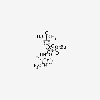 CC(C)(C)OC(=O)NS(=O)(=NC(=O)Nc1c2c(nc(C(F)(F)F)c1C1CC1)CCC2)c1cnc(C(C)(C)O)s1